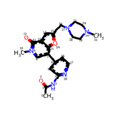 CC(=O)Nc1cc(-c2cn(C)c(=O)c3cc(CN4CCN(C)CC4)oc23)ccn1